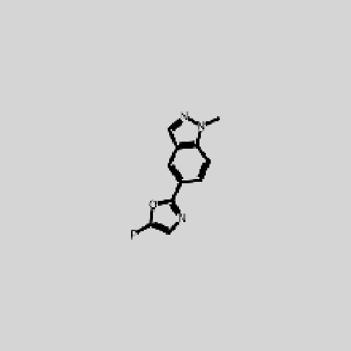 Cn1ncc2cc(-c3ncc(F)o3)ccc21